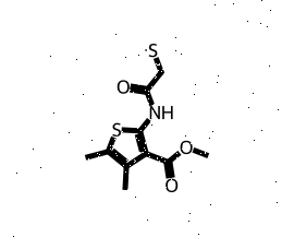 COC(=O)c1c(NC(=O)C[S])sc(C)c1C